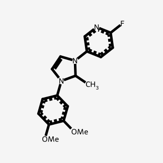 COc1ccc(N2C=CN(c3ccc(F)nc3)C2C)cc1OC